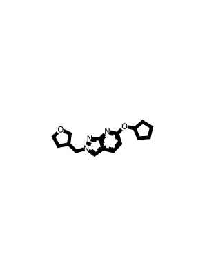 c1cc2cn(CC3CCOC3)nc2nc1OC1CCCC1